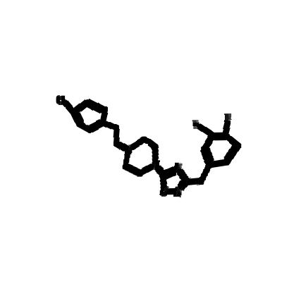 Fc1ccc(Cc2noc(N3CCN(CCc4ccc(Cl)cc4)CC3)n2)cc1F